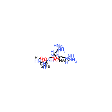 CCC(=O)N[C@@H](CSC)C(=O)N[C@@H](C)C(=O)NCC(=O)N[C@H](CCCNC(=N)N)C(=O)N[C@H](CCCNC(=N)N)C(=O)NC